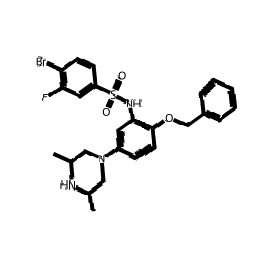 CC1CN(c2ccc(OCc3ccccc3)c(NS(=O)(=O)c3ccc(Br)c(F)c3)c2)CC(C)N1